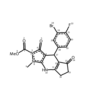 COC(=O)n1c(=O)c2c(n1C)NC1=C(C(=O)CC1)C2c1ccc(F)c(Br)c1